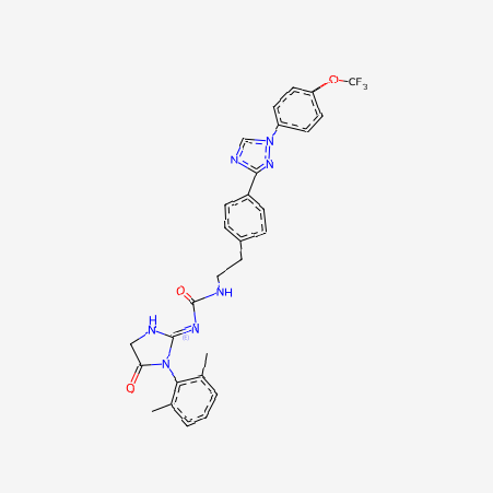 Cc1cccc(C)c1N1C(=O)CN/C1=N\C(=O)NCCc1ccc(-c2ncn(-c3ccc(OC(F)(F)F)cc3)n2)cc1